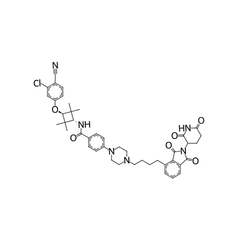 CC1(C)[C@H](NC(=O)c2ccc(N3CCN(CCCCc4cccc5c4C(=O)N(C4CCC(=O)NC4=O)C5=O)CC3)cc2)C(C)(C)[C@H]1Oc1ccc(C#N)c(Cl)c1